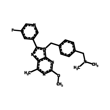 COc1nc(C)c2nc(-c3cncc(F)c3)n(Cc3ccc(CN(C)C)cc3)c2n1